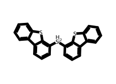 c1ccc2c(c1)sc1c([SiH2]c3cccc4c3sc3ccccc34)cccc12